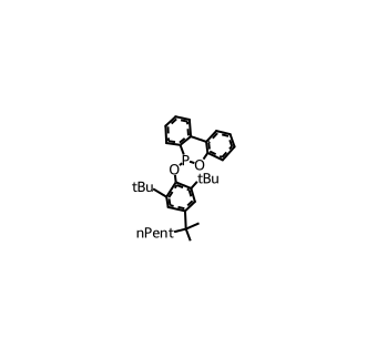 CCCCCC(C)(C)c1cc(C(C)(C)C)c(OP2Oc3ccccc3-c3ccccc32)c(C(C)(C)C)c1